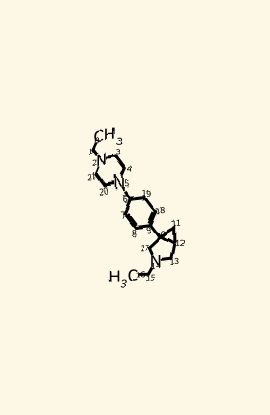 CCN1CCN(C2C=CC(C34CC3CN(CC)C4)=CC2)CC1